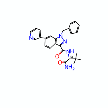 CC(C)(C)[C@H](NC(=O)c1nn(Cc2ccccc2)c2cc(-c3cccnc3)ccc12)C(N)=O